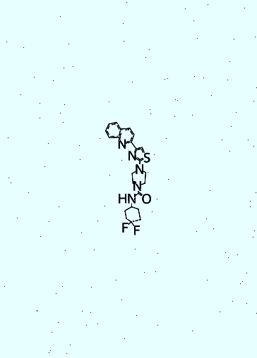 O=C(NC1CCC(F)(F)CC1)N1CCN(c2nc(-c3ccc4ccccc4n3)cs2)CC1